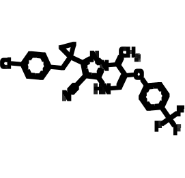 C=C1C(Oc2ccc(C(F)(F)F)cc2)=CNc2c(C#N)c(C3(Cc4ccc(Cl)cc4)CC3)nn21